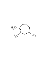 CC1=C(C(F)(F)F)CC(C(F)(F)F)CCC1